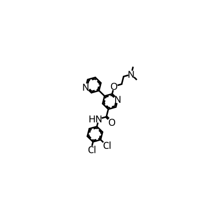 CN(C)CCOc1ncc(C(=O)Nc2ccc(Cl)c(Cl)c2)cc1-c1cccnc1